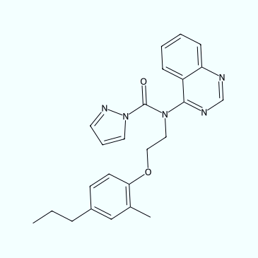 CCCc1ccc(OCCN(C(=O)n2cccn2)c2ncnc3ccccc23)c(C)c1